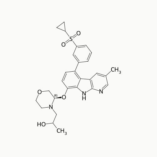 Cc1cnc2[nH]c3c(O[C@@H]4COCCN4CC(C)O)ccc(-c4cccc(S(=O)(=O)C5CC5)c4)c3c2c1